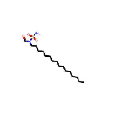 CCCCCCCCCCCCCCCCN([C]=O)S(N)(=O)=O